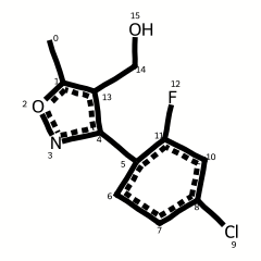 Cc1onc(-c2ccc(Cl)cc2F)c1CO